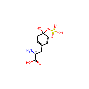 N[C@@H](CC1=CCC(O)(OS(=O)(=O)O)C=C1)C(=O)O